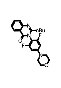 CCCCc1nc2ccccc2c(=O)n1-c1c(F)cc(N2CCOCC2)cc1F